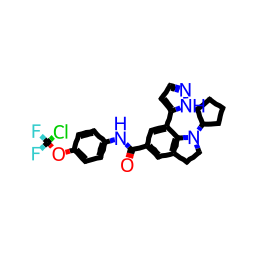 O=C(Nc1ccc(OC(F)(F)Cl)cc1)c1cc2c(c(-c3ccn[nH]3)c1)N(C1CCCC1)CC2